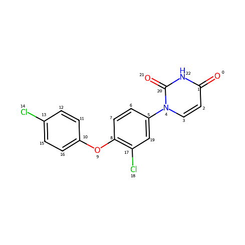 O=c1ccn(-c2ccc(Oc3ccc(Cl)cc3)c(Cl)c2)c(=O)[nH]1